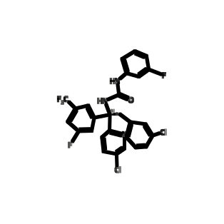 O=C(Nc1cccc(F)c1)N[C@](Cc1cccc(Cl)c1)(c1cc(F)cc(C(F)(F)F)c1)c1ccc(Cl)cn1